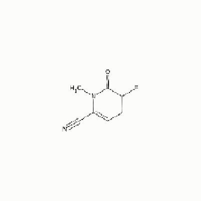 CN1C(=O)C(F)CC=C1C#N